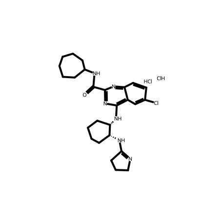 Cl.Cl.O=C(NC1CCCCCC1)c1nc(N[C@H]2CCCC[C@H]2NC2=NCCC2)c2cc(Cl)ccc2n1